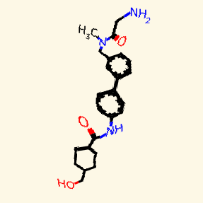 CN(Cc1cccc(-c2ccc(NC(=O)C3CCC(CO)CC3)cc2)c1)C(=O)CN